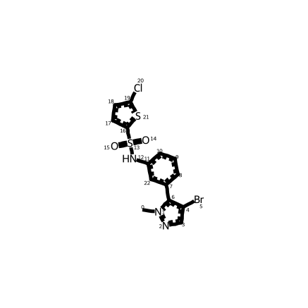 Cn1ncc(Br)c1-c1cccc(NS(=O)(=O)c2ccc(Cl)s2)c1